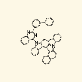 c1ccc(-c2cccc(-c3nc(-n4c5ccccc5c5c6c7c8ccccc8ccc7n7c8ccccc8c(cc54)c67)c4ccccc4n3)c2)cc1